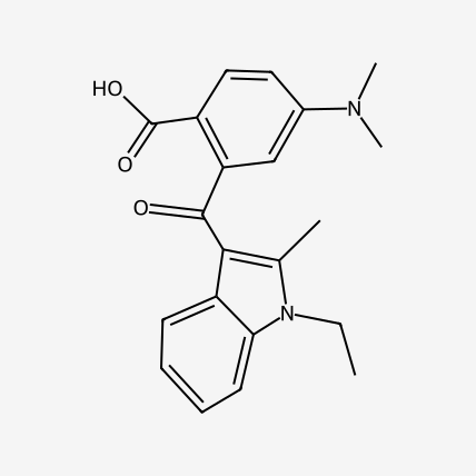 CCn1c(C)c(C(=O)c2cc(N(C)C)ccc2C(=O)O)c2ccccc21